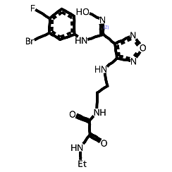 CCNC(=O)C(=O)NCCNc1nonc1/C(=N/O)Nc1ccc(F)c(Br)c1